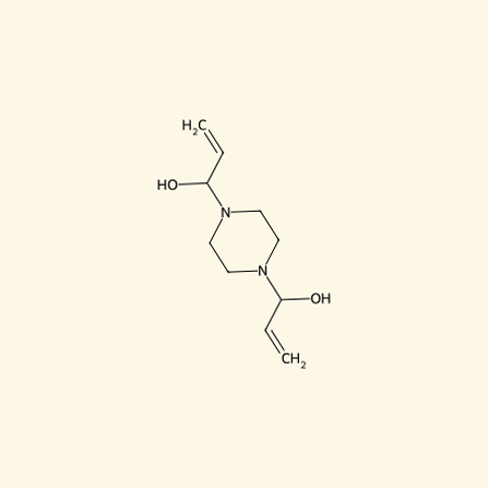 C=CC(O)N1CCN(C(O)C=C)CC1